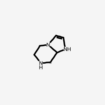 [C]1NCCN2C=CNC12